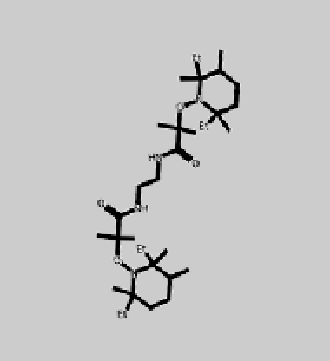 CCC1(C)CCC(C)C(C)(CC)N1OC(C)(C)C(=O)NCCNC(=O)C(C)(C)ON1C(C)(CC)CCC(C)C1(C)CC